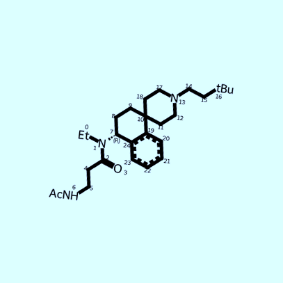 CCN(C(=O)CCNC(C)=O)[C@@H]1CCC2(CCN(CCC(C)(C)C)CC2)c2ccccc21